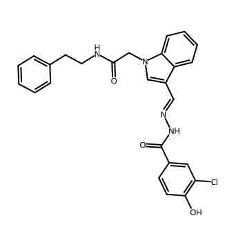 O=C(Cn1cc(/C=N/NC(=O)c2ccc(O)c(Cl)c2)c2ccccc21)NCCc1ccccc1